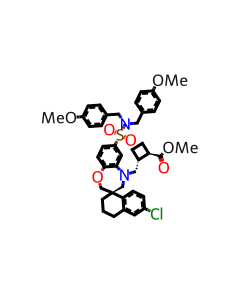 COC(=O)[C@@H]1CC[C@H]1CN1C[C@@]2(CCCc3cc(Cl)ccc32)COc2ccc(S(=O)(=O)N(Cc3ccc(OC)cc3)Cc3ccc(OC)cc3)cc21